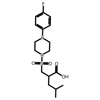 CC(C)CC(CS(=O)(=O)N1CCN(c2ccc(F)cc2)CC1)C(=O)O